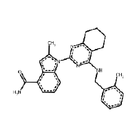 Cc1ccccc1CNc1nc(-n2c(C)cc3c(C(N)=O)cccc32)nc2c1CCCC2